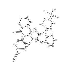 CC(c1nc2ncccc2c(=O)n1-c1ccc(C#N)cc1)N(Cc1cccnc1)C(=O)Cc1ccc(C(F)(F)F)cc1